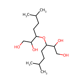 CC(C)CCC(OC(CCC(C)C)C(O)CO)C(O)CO